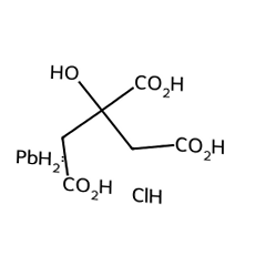 Cl.O=C(O)CC(O)(CC(=O)O)C(=O)O.[PbH2]